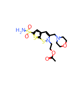 CC(=O)OCCN1Sc2sc(S(N)(=O)=O)cc2C=C1CN1CCOCC1